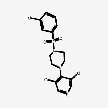 O=S(=O)(c1cccc(Cl)c1)N1CCN(c2c(Cl)cncc2Cl)CC1